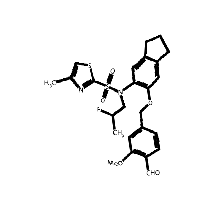 COc1cc(COc2cc3c(cc2N(CC(C)F)S(=O)(=O)c2nc(C)cs2)CCC3)ccc1C=O